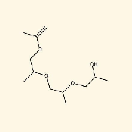 C=C(C)OCC(C)OCC(C)OCC(C)O